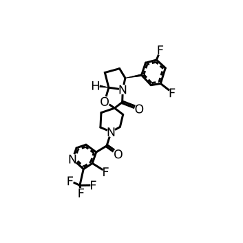 O=C(c1ccnc(C(F)(F)F)c1F)N1CCC2(CC1)O[C@@H]1CC[C@@H](c3cc(F)cc(F)c3)N1C2=O